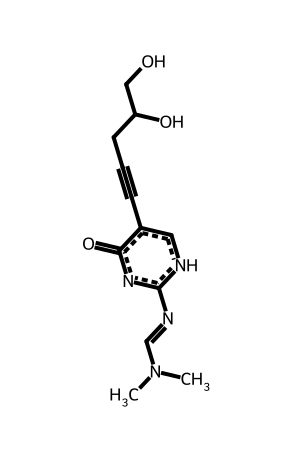 CN(C)C=Nc1nc(=O)c(C#CCC(O)CO)c[nH]1